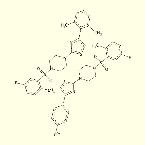 CCCc1ccc(-c2csc(N3CCN(S(=O)(=O)c4cc(F)ccc4C)CC3)n2)cc1.Cc1ccc(F)cc1S(=O)(=O)N1CCN(c2nc(-c3c(C)cccc3C)cs2)CC1